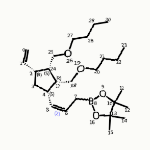 C=C[C@H]1C[C@@H](/C=C\CB2OC(C)(C)C(C)(C)O2)[C@@H](COCCCC)[C@H]1COCCCC